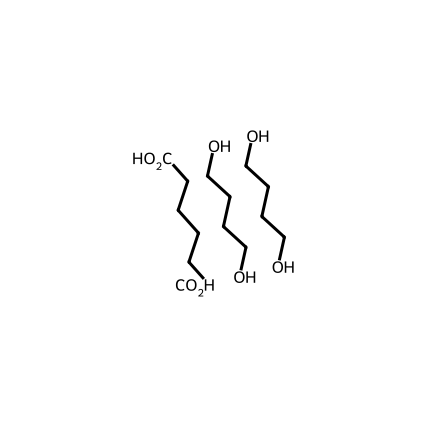 O=C(O)CCCCC(=O)O.OCCCCO.OCCCCO